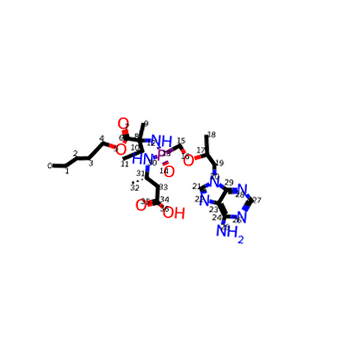 CCCCCOC(=O)C(C)(CC)NP(=O)(COC(C)Cn1cnc2c(N)ncnc21)N[C@@H](C)CC(=O)O